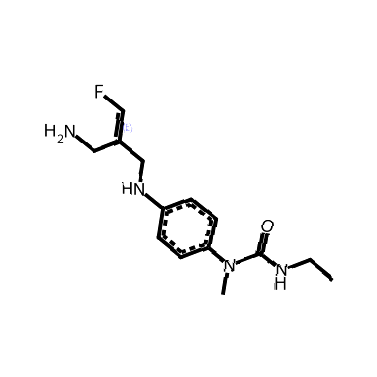 CCNC(=O)N(C)c1ccc(NC/C(=C/F)CN)cc1